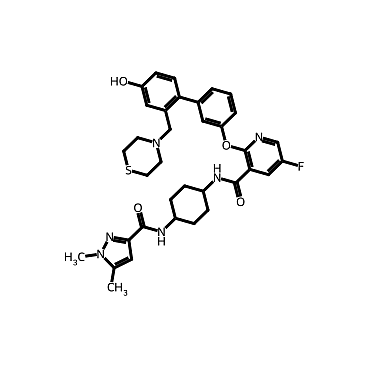 Cc1cc(C(=O)NC2CCC(NC(=O)c3cc(F)cnc3Oc3cccc(-c4ccc(O)cc4CN4CCSCC4)c3)CC2)nn1C